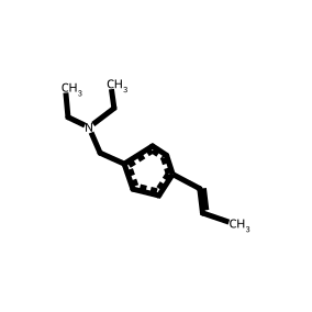 C/C=C/c1ccc(CN(CC)CC)cc1